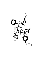 CC(C)CN(C[C@@H](OC(=O)OCCS)[C@H](Cc1ccccc1)NC(=O)O[C@H]1CCOC1)S(=O)(=O)c1ccc(N)cc1